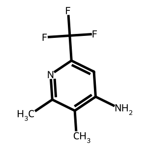 Cc1nc(C(F)(F)F)cc(N)c1C